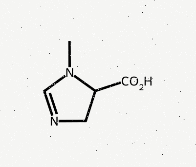 CN1C=NCC1C(=O)O